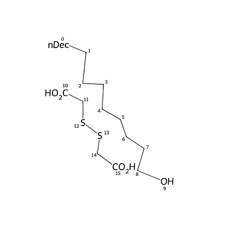 CCCCCCCCCCCCCCCCCCO.O=C(O)CSSCC(=O)O